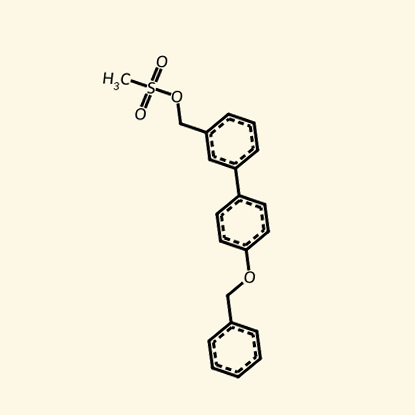 CS(=O)(=O)OCc1cccc(-c2ccc(OCc3ccccc3)cc2)c1